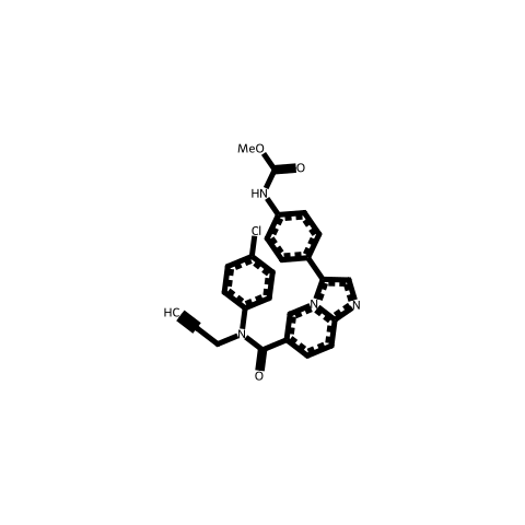 C#CCN(C(=O)c1ccc2ncc(-c3ccc(NC(=O)OC)cc3)n2c1)c1ccc(Cl)cc1